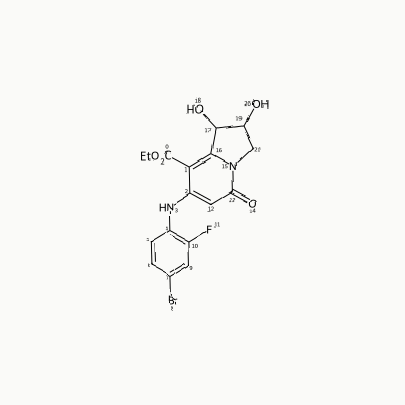 CCOC(=O)c1c(Nc2ccc(Br)cc2F)cc(=O)n2c1C(O)C(O)C2